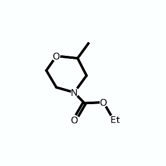 CCOC(=O)N1CCOC(C)C1